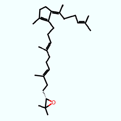 CC(C)=CCC/C(C)=C1/CCC(C)=C1CC/C=C(\C)CC/C=C(\C)CC[C@@H]1OC1(C)C